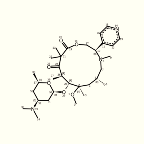 CO[C@]1(C)C[C@@H](C)CN(C)[C@H](c2ccncc2)COC(=O)C(C)(C)C(=O)[C@H](C)[C@H]1O[C@H]1C[C@@H](N(C)C)C[C@@H](C)O1